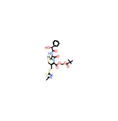 Cc1nnc(SCC2=C(C(=O)OCOC(=O)C(C)(C)C)N3C(=O)C(NC(=O)C(O)c4ccccc4)[C@@H]3SC2)s1